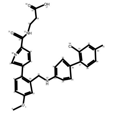 COc1ccc(-c2ccc(C(=O)NCCC(=O)O)nc2)c(CNc2ccc(-c3ccc(C)cc3Cl)cc2)c1